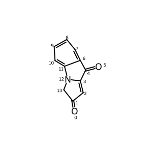 O=C1C=C2C(=O)c3ccccc3N2C1